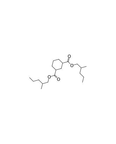 CCCC(C)COC(=O)C1CCCC(C(=O)OCC(C)CCC)C1